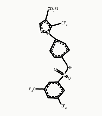 CCOC(=O)c1cnn(-c2ccc(NS(=O)(=O)c3cc(C(F)(F)F)cc(C(F)(F)F)c3)cc2)c1C(F)(F)F